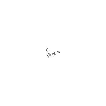 [Al].[Al].[Co].[Ni]